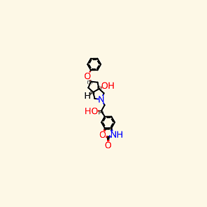 O=c1[nH]c2ccc([C@@H](O)CN3C[C@H]4C[C@H](Oc5ccccc5)C[C@@]4(O)C3)cc2o1